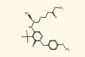 C#C[C@@H](COCCC(=O)OC)Nc1cnn(Cc2ccc(OC)cc2)c(=O)c1C(F)(F)F